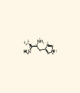 C=C(N)[C@@H](N)Cc1c[nH]cn1